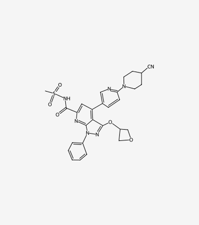 CS(=O)(=O)NC(=O)c1cc(-c2ccc(N3CCC(C#N)CC3)nc2)c2c(OC3COC3)nn(-c3ccccc3)c2n1